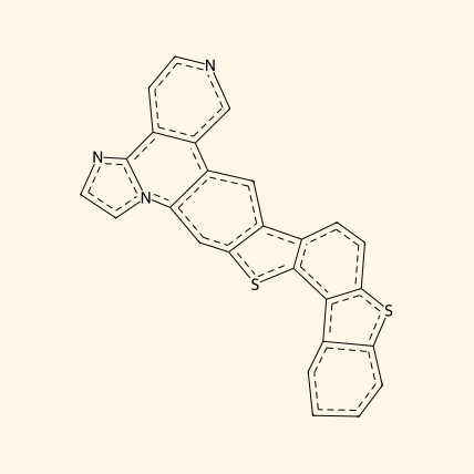 c1ccc2c(c1)sc1ccc3c4cc5c6cnccc6c6nccn6c5cc4sc3c12